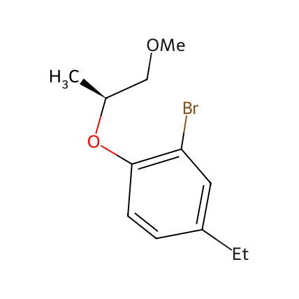 CCc1ccc(O[C@@H](C)COC)c(Br)c1